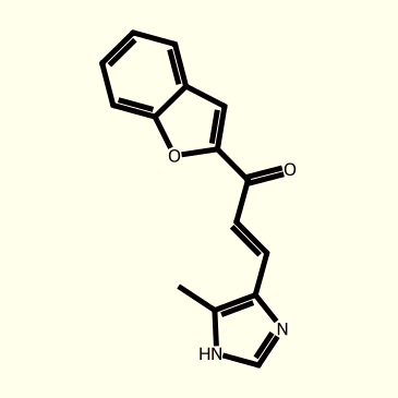 Cc1[nH]cnc1C=CC(=O)c1cc2ccccc2o1